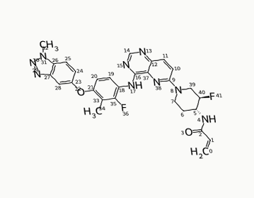 C=CC(=O)N[C@@H]1CCN(c2ccc3ncnc(Nc4ccc(Oc5ccc6c(c5)nnn6C)c(C)c4F)c3n2)C[C@H]1F